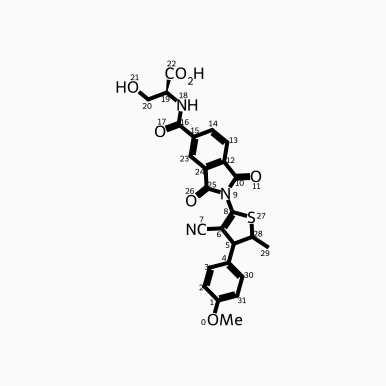 COc1ccc(C2C(C#N)=C(N3C(=O)c4ccc(C(=O)N[C@@H](CO)C(=O)O)cc4C3=O)SC2C)cc1